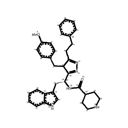 COc1ccc(CC2C(CCc3ccccc3)=NN=C2[C@@H](Cc2c[nH]c3ccccc23)NC(=O)C2CCNCC2)cc1